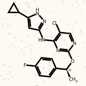 C[C@H](Oc1ncc(Cl)c(Nc2cc(C3CC3)[nH]n2)n1)c1ccc(F)cc1